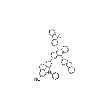 CC1(C)c2ccccc2-c2ccc(-c3c4ccccc4c(-c4ccc5c(c4)C(C)(C)c4ccccc4-5)c4cc(-c5cc6ccc7cc(C#N)cc8c7c6c(c5)n8-c5ccccc5)ccc34)cc21